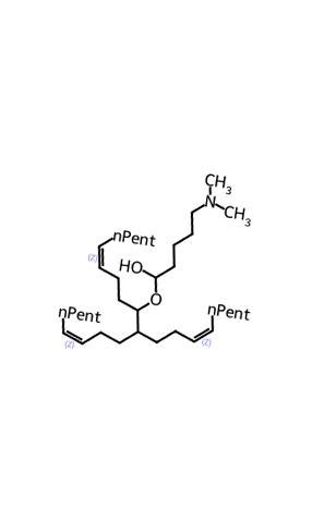 CCCCC/C=C\CCC(CC/C=C\CCCCC)C(CC/C=C\CCCCC)OC(O)CCCCN(C)C